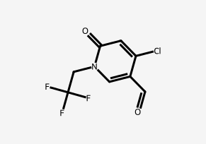 O=Cc1cn(CC(F)(F)F)c(=O)cc1Cl